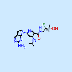 CC(C)Nc1cc(-n2ccc3cnc(N)nc32)ncc1C(=O)NC[C@@H](F)C(C)(C)O